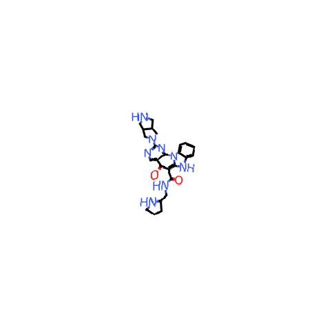 O=C(NCC1CCCN1)c1c(=O)c2cnc(N3CC4CNCC4C3)nc2n2c1[nH]c1ccccc12